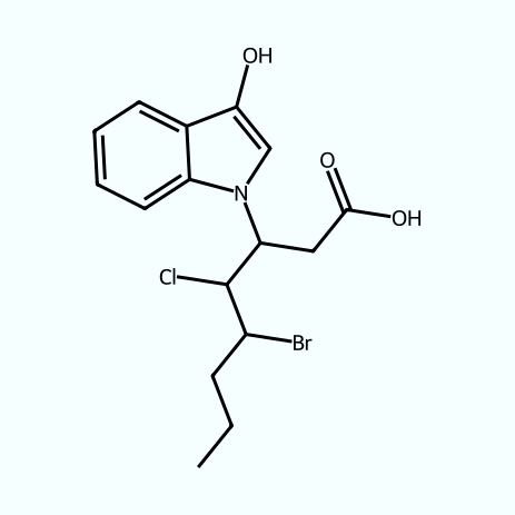 CCCC(Br)C(Cl)C(CC(=O)O)n1cc(O)c2ccccc21